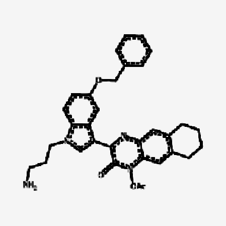 CC(=O)On1c(=O)c(-c2cn(CCCN)c3ccc(OCc4ccccc4)cc23)nc2cc3c(cc21)CCCC3